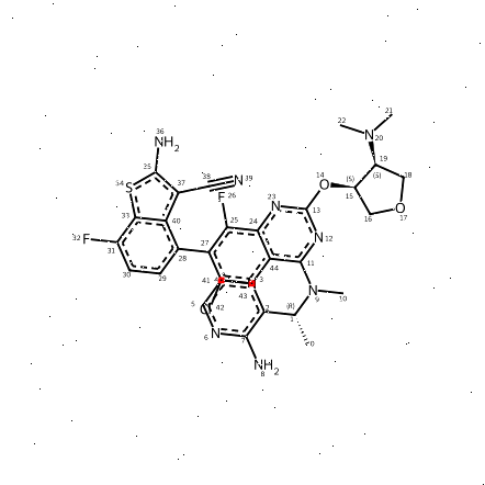 C[C@H](c1nccnc1N)N(C)c1nc(O[C@@H]2COC[C@@H]2N(C)C)nc2c(F)c(-c3ccc(F)c4sc(N)c(C#N)c34)c(Cl)cc12